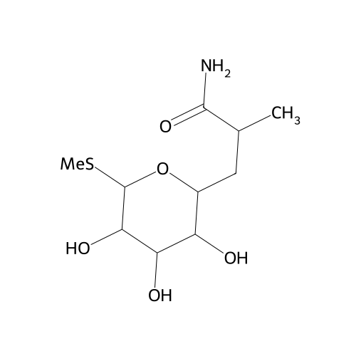 CSC1OC(CC(C)C(N)=O)C(O)C(O)C1O